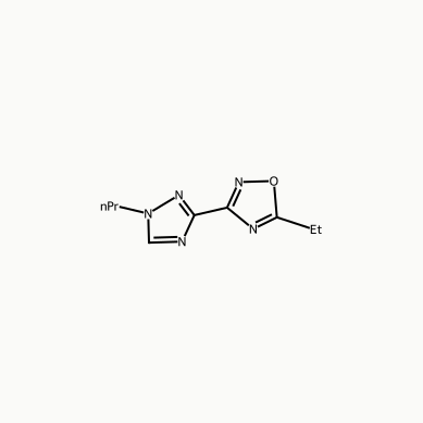 CCCn1cnc(-c2noc(CC)n2)n1